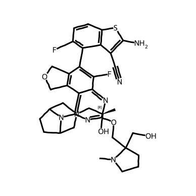 C[C@@H](O)CN1CC2CCC(C1)N2c1nc(OCC2(CO)CCCN2C)nc2c(F)c(-c3c(F)ccc4sc(N)c(C#N)c34)c3c(c12)COC3